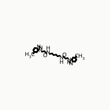 Cc1ccc2nnn(CCC(=O)NCCCCCCNC(=O)CCn3nnc4ccc(C)cc43)c2c1